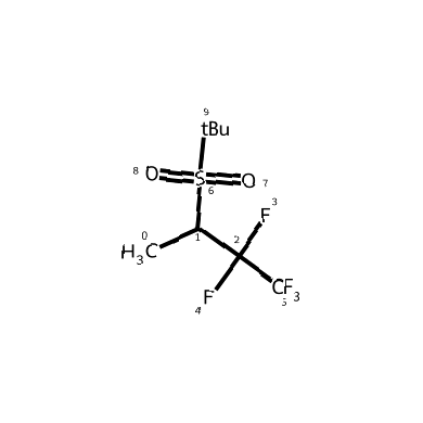 CC(C(F)(F)C(F)(F)F)S(=O)(=O)C(C)(C)C